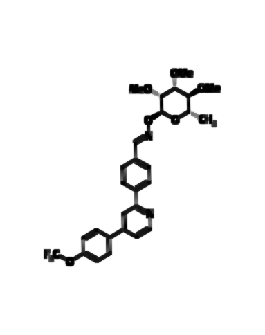 CO[C@@H]1[C@@H](OC)[C@H](C)O[C@@H](O/N=C/c2ccc(-c3cc(-c4ccc(OC(F)(F)F)cc4)ccn3)cc2)[C@@H]1OC